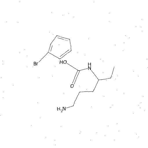 Brc1ccccc1.CCC(CCCN)NC(=O)O